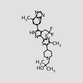 Cc1nc(-c2n[nH]c(-c3cc(C)c4ncnn4c3)c2CC(F)(F)F)sc1C1CCN(CC(C)(C)O)CC1